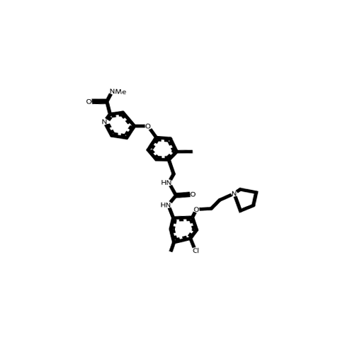 CNC(=O)c1cc(Oc2ccc(CNC(=O)Nc3cc(C)c(Cl)cc3OCCN3CCCC3)c(C)c2)ccn1